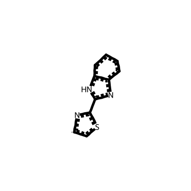 [c]1csc(-c2nc3ccccc3[nH]2)n1